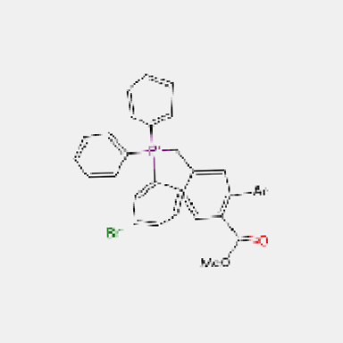 COC(=O)c1ccc(C[P+](c2ccccc2)(c2ccccc2)c2ccccc2)cc1C(C)=O.[Br-]